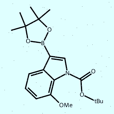 COc1cccc2c(B3OC(C)(C)C(C)(C)O3)cn(C(=O)OC(C)(C)C)c12